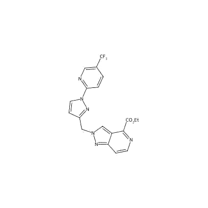 CCOC(=O)c1nccc2nn(Cc3ccn(-c4ccc(C(F)(F)F)cn4)n3)cc12